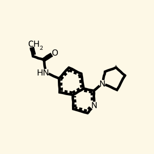 C=CC(=O)Nc1ccc2c(N3C[CH]CC3)nccc2c1